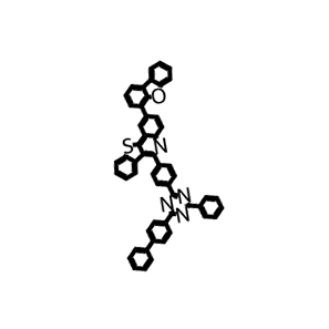 c1ccc(-c2ccc(-c3nc(-c4ccccc4)nc(-c4ccc(-c5nc6ccc(-c7cccc8c7oc7ccccc78)cc6c6sc7ccccc7c56)cc4)n3)cc2)cc1